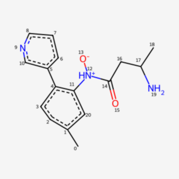 Cc1ccc(-c2cccnc2)c([NH+]([O-])C(=O)CC(C)N)c1